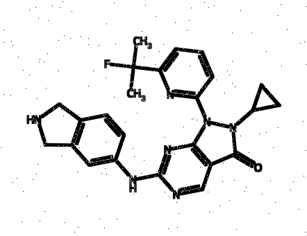 CC(C)(F)c1cccc(-n2c3nc(Nc4ccc5c(c4)CNC5)ncc3c(=O)n2C2CC2)n1